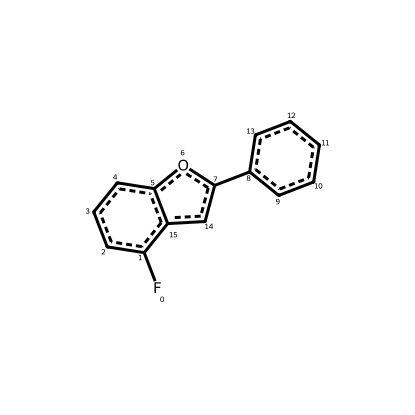 Fc1cccc2oc(-c3ccccc3)cc12